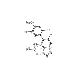 COc1cc(F)c(-c2c(C)nc3ncnn3c2NC(C)C(C)C)cc1F